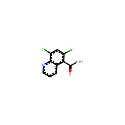 COC(=O)c1c(Br)cc(Cl)c2ncccc12